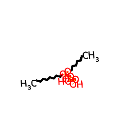 CCCCCCCCCOP(=O)(OCCCCCCC)OP(=O)(O)O